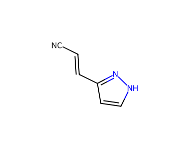 N#CC=Cc1cc[nH]n1